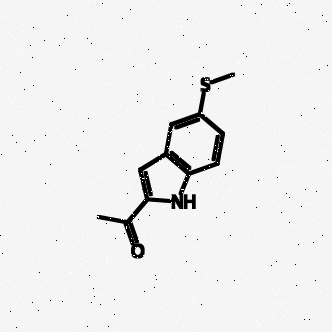 CSc1ccc2[nH]c(C(C)=O)cc2c1